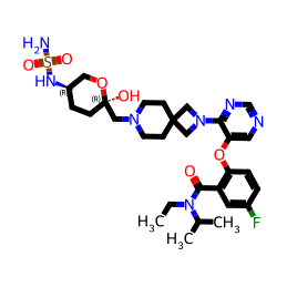 CCN(C(=O)c1cc(F)ccc1Oc1cncnc1N1CC2(CCN(C[C@@]3(O)CC[C@@H](NS(N)(=O)=O)CO3)CC2)C1)C(C)C